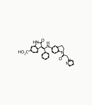 O=C1Nc2cc(C(=O)O)ccc2C1=C(Nc1ccc2c(c1)CCN2C(=O)Cn1cccn1)c1ccccc1